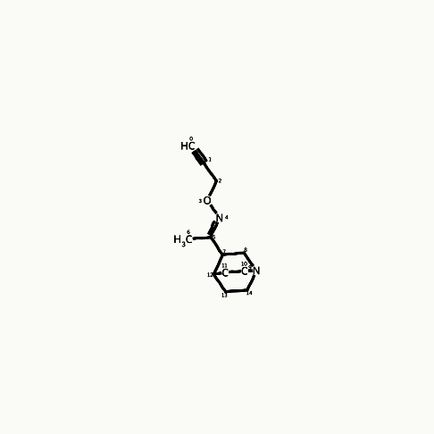 C#CCON=C(C)C1CN2CCC1CC2